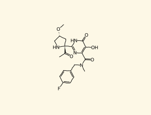 CO[C@H]1CN[C@@](C(C)=O)(c2nc(C(=O)N(C)Cc3ccc(F)cc3)c(O)c(=O)[nH]2)C1